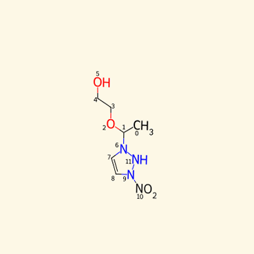 CC(OCCO)N1C=CN([N+](=O)[O-])N1